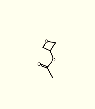 [CH2]C(=O)OC1COC1